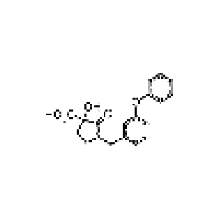 O=C(O)C1(O)CCN(Cc2cccc(Oc3ccccc3)c2)C1=O